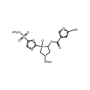 CCCCCCN1CC(OC(=O)c2coc(CCC)c2)[N+]([O-])(c2ncc(S(=O)(=O)CCCCC)s2)C1